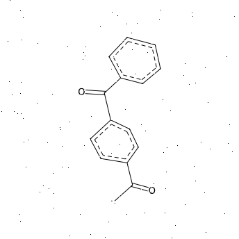 [CH2]C(=O)c1ccc(C(=O)c2ccccc2)cc1